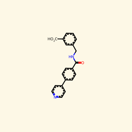 O=C(O)c1cccc(CNC(=O)c2ccc(-c3ccncc3)cc2)c1